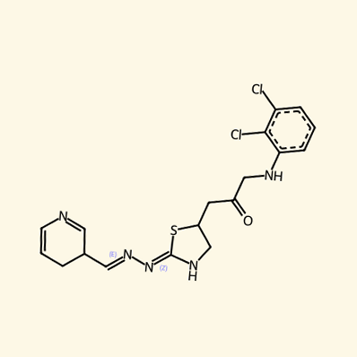 O=C(CNc1cccc(Cl)c1Cl)CC1CN/C(=N/N=C/C2C=NC=CC2)S1